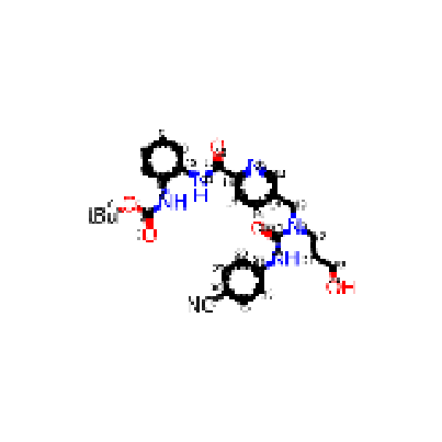 CC(C)(C)OC(=O)Nc1ccccc1NC(=O)c1ccc(CN(CCCO)C(=O)Nc2ccc(C#N)cc2)cn1